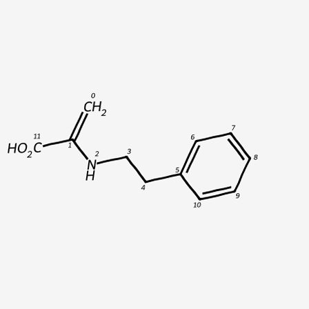 C=C(NCCc1ccccc1)C(=O)O